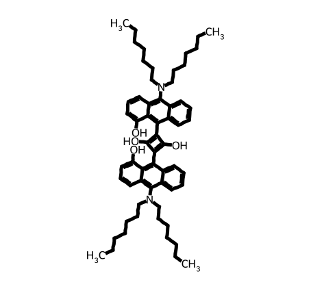 CCCCCCCN(CCCCCCC)c1c2ccccc2c(C2=C(O)C(c3c4ccccc4c(N(CCCCCCC)CCCCCCC)c4cccc(O)c34)=C2O)c2c(O)cccc12